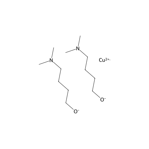 CN(C)CCCC[O-].CN(C)CCCC[O-].[Cu+2]